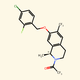 C[C@H]1c2cc(OCc3ccc(Cl)cc3F)c(C(F)(F)F)cc2CCN1C(=O)C(F)(F)F